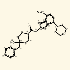 COc1ccc(N2CCOCC2)c2nc(NC(=O)N3CCC(O)(Cc4ccccc4)CC3)[nH]c12